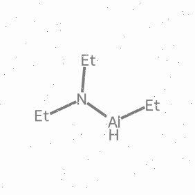 C[CH2][AlH][N](CC)CC